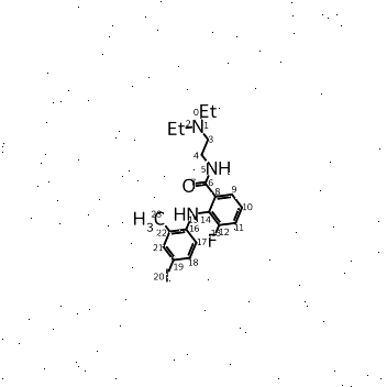 CCN(CC)CCNC(=O)c1cccc(F)c1Nc1ccc(I)cc1C